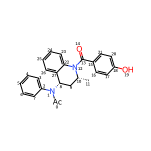 CC(=O)N(c1ccccc1)[C@H]1C[C@@H](C)N(C(=O)c2ccc(O)cc2)c2ccccc21